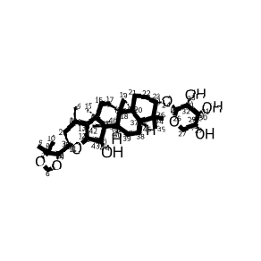 C[C@@H]1C[C@H]([C@@H]2OCOC2(C)C)OC2C1[C@@]1(C)CC[C@@]34C[C@@]35CC[C@H](O[C@@H]3OC[C@@H](O)[C@H](O)[C@H]3O)C(C)(C)[C@@H]5CC[C@H]4[C@]1(C)[C@H]2O